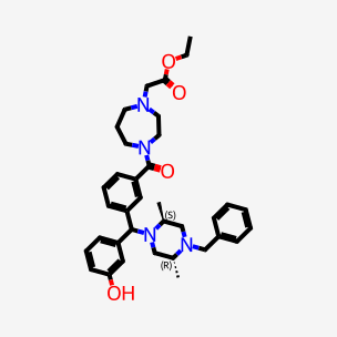 CCOC(=O)CN1CCCN(C(=O)c2cccc(C(c3cccc(O)c3)N3C[C@@H](C)N(Cc4ccccc4)C[C@@H]3C)c2)CC1